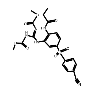 CCC(=O)Nc1ccc(S(=O)(=O)c2ccc(C#N)cc2)cc1NC(=NC(=O)OC)NC(=O)OC